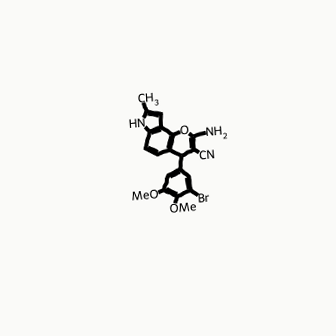 COc1cc(C2C(C#N)=C(N)Oc3c2ccc2[nH]c(C)cc32)cc(Br)c1OC